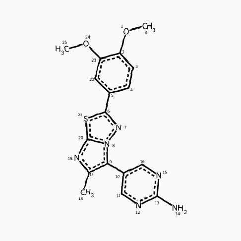 COc1ccc(-c2nn3c(-c4cnc(N)nc4)c(C)nc3s2)cc1OC